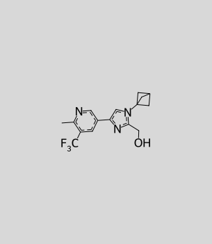 Cc1ncc(-c2cn(C34CC(C3)C4)c(CO)n2)cc1C(F)(F)F